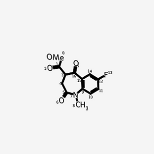 COC(=O)C1CC(=O)N(C)c2ccc(F)cc2C1=O